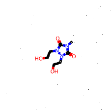 Cn1c(=O)n(CCO)n(CCO)c1=O